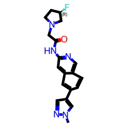 Cn1cc(-c2ccc3cnc(NC(=O)CN4CC[C@@H](F)C4)cc3c2)cn1